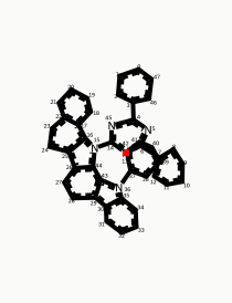 c1ccc(-c2nc(-c3ccccc3)nc(-n3c4c5ccccc5ccc4c4ccc5c6ccccc6n(-c6ccccc6)c5c43)n2)cc1